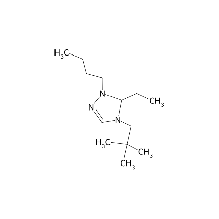 CCCCN1N=CN(CC(C)(C)C)C1CC